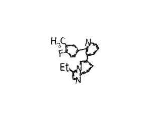 CCc1cnc2ccc(-c3cccnc3-c3ccc(F)c(C)c3)cn12